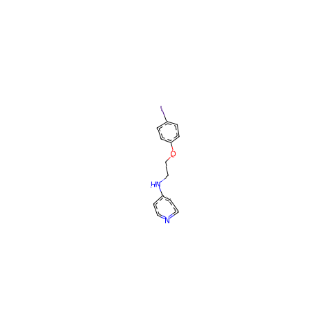 Ic1ccc(OCCNc2ccncc2)cc1